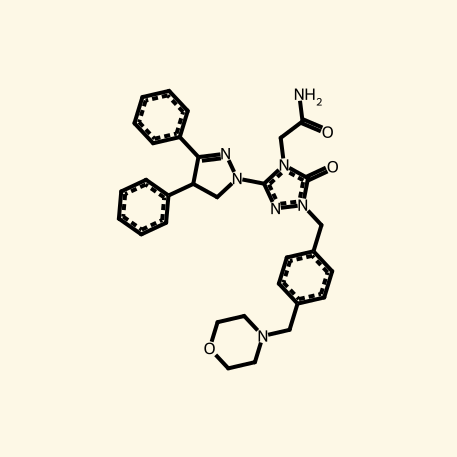 NC(=O)Cn1c(N2CC(c3ccccc3)C(c3ccccc3)=N2)nn(Cc2ccc(CN3CCOCC3)cc2)c1=O